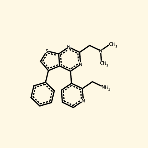 CN(C)Cc1nc(-c2cccnc2CN)c2c(-c3ccccc3)csc2n1